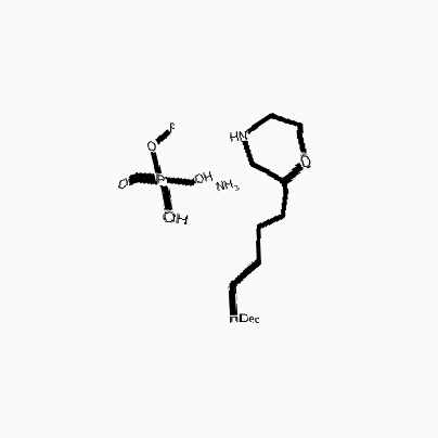 CCCCCCCCCCCCCCC1CNCCO1.N.O=P(O)(O)OF